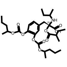 CCCC(C)OC(=O)Oc1ccc(C[C@](NC(C)CC)(OC(=O)C(C)CC)C(=O)O)cc1OC(=O)OC(C)CCC